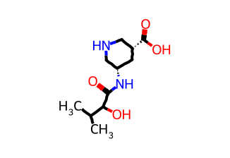 CC(C)C(O)C(=O)N[C@@H]1CNC[C@H](C(=O)O)C1